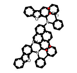 Cc1ccc2c(oc3ccccc32)c1N(c1ccccc1-c1ccccc1)c1ccc2ccc3c(N(c4ccccc4-c4ccccc4)c4c(C)ccc5c4oc4ccccc45)ccc4ccc1c2c43